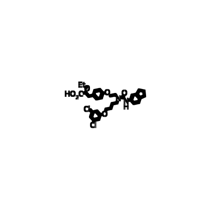 CCOC(Cc1ccc(OCCN(CCCCOc2cc(Cl)cc(Cl)c2)C(=O)Nc2ccc3c(c2)CCC3)cc1)C(=O)O